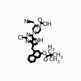 CC(C)(C)C(=O)Oc1cc(Cc2c[nH]c3c(N4CCN(C(=O)O)[C@@H](CC#N)C4)nc(Cl)nc23)c2ccccc2c1